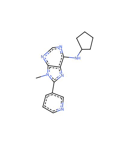 Cn1c(-c2cccnc2)nc2c(NC3CCCC3)ncnc21